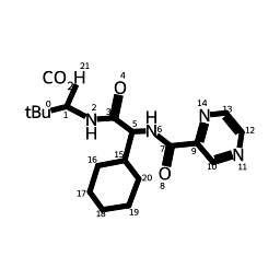 CC(C)(C)C(NC(=O)C(NC(=O)c1cnccn1)C1CCCCC1)C(=O)O